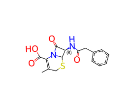 CC1=C(C(=O)O)N2C(=O)[C@@H](NC(=O)Cc3ccccc3)C2SC1